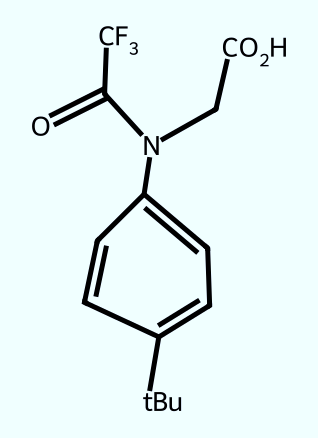 CC(C)(C)c1ccc(N(CC(=O)O)C(=O)C(F)(F)F)cc1